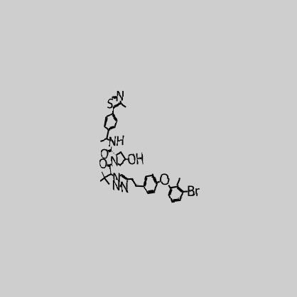 Cc1ncsc1-c1ccc(C(C)NC(=O)[C@@H]2C[C@@H](O)CN2C(=O)C(n2cc(CCc3ccc(Oc4cccc(Br)c4C)cc3)nn2)C(C)(C)C)cc1